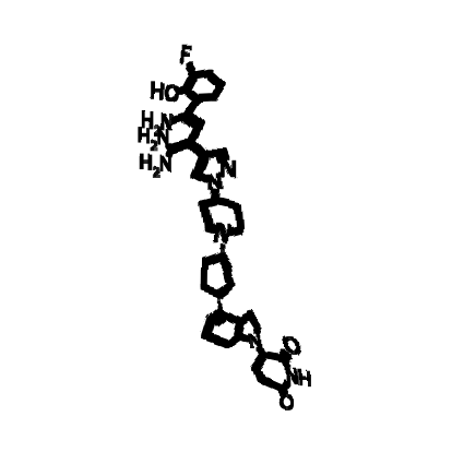 NC(N)=C(/C=C(\N)c1cccc(F)c1O)c1cnn(C2CCN([C@H]3CC[C@@H](c4cccc5c4CCN5C4CCC(=O)NC4=O)CC3)CC2)c1